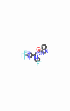 O=C(NCC(c1cnc(C(F)(F)F)nc1)N1CCC(F)(F)CC1)c1ccnc2ccccc12